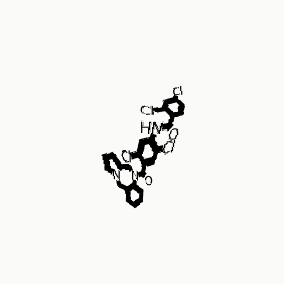 O=C(Nc1cc(Cl)c(C(=O)N2Cc3cccn3Cc3ccccc32)cc1Cl)c1ccc(Cl)cc1Cl